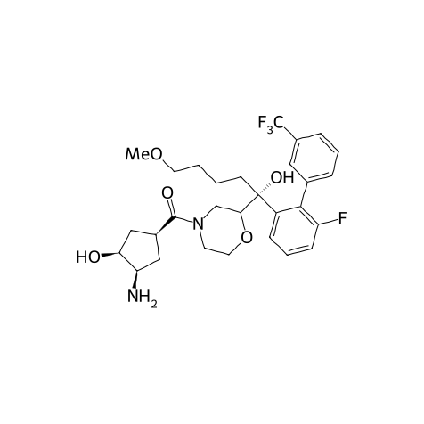 COCCCC[C@@](O)(c1cccc(F)c1-c1cccc(C(F)(F)F)c1)C1CN(C(=O)[C@H]2C[C@@H](N)[C@@H](O)C2)CCO1